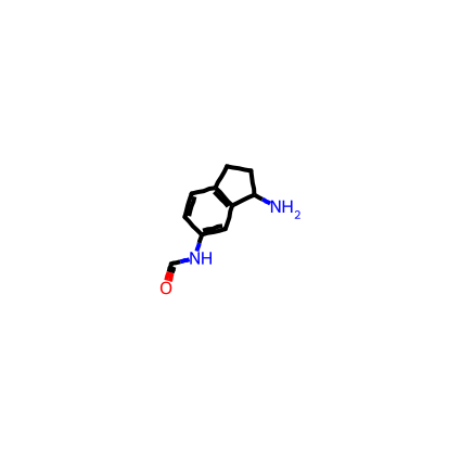 NC1CCc2ccc(NC=O)cc21